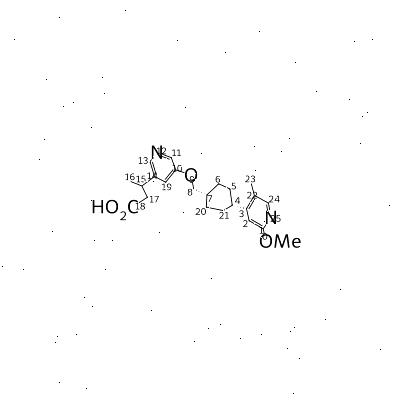 COc1cc([C@H]2CC[C@@H](COc3cncc(C(C)CC(=O)O)c3)CC2)c(C)cn1